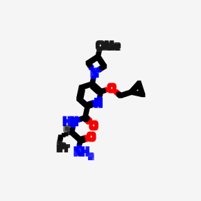 COC1CN(c2ccc(C(=O)N[C@@H](CC(C)C)C(N)=O)nc2OCC2CC2)C1